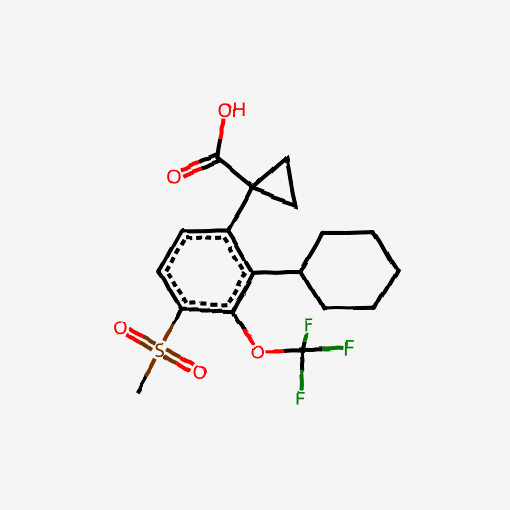 CS(=O)(=O)c1ccc(C2(C(=O)O)CC2)c(C2CCCCC2)c1OC(F)(F)F